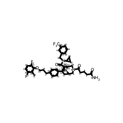 NC(=O)CCCC(=O)N1CC2CC(c3ccc(CCCOc4c(F)ccc(F)c4F)cc3)=C(C(=O)N(Cc3cccc(C(F)(F)F)c3)C3CC3)[C@@H](C1)N2